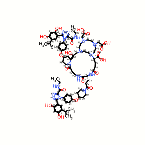 CCNC(=O)c1nnc(-c2cc(C(C)C)c(O)cc2O)n1-c1ccc(OC2CCN(C(=O)CC[C@H]3NC(=O)CC[C@H](C(=O)O)N4CCN(CC(=O)O)CCN(CC(=O)O)CCN(CC4)C/C(O)=C4/CC(Oc5ccc(-n6c(C(=O)NCC)nnc6-c6cc(C(C)C)c(O)cc6O)cc5)CCN4C(=O)CCNC3=O)CC2)cc1